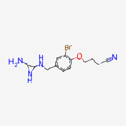 N#CCCCOc1ccc(CNC2NC2N)cc1Br